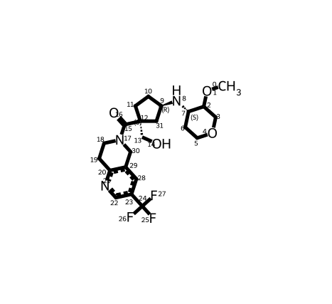 COC1COCC[C@@H]1N[C@@H]1CC[C@](CO)(C(=O)N2CCc3ncc(C(F)(F)F)cc3C2)C1